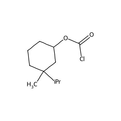 CC(C)C1(C)CCCC(OC(=O)Cl)C1